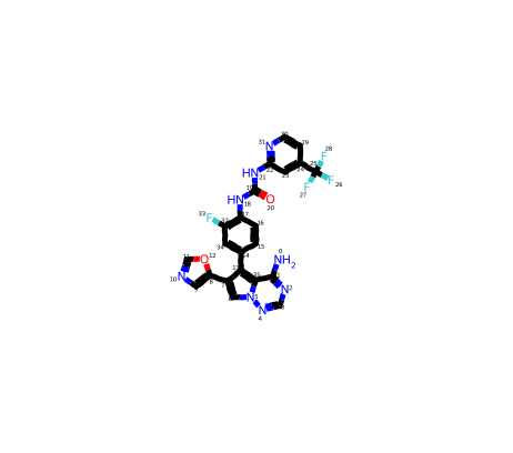 Nc1ncnn2cc(-c3cnco3)c(-c3ccc(NC(=O)Nc4cc(C(F)(F)F)ccn4)c(F)c3)c12